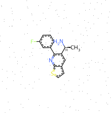 C[C@H](N)c1cc2ccsc2nc1-c1cccc(F)c1